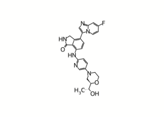 C[C@@H](O)[C@H]1CN(c2ccc(Nc3ccc(-c4cnc5cc(F)ccn45)c4c3C(=O)NC4)nc2)CCO1